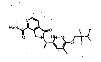 CNC(=O)c1nccc2c1CN(C(C)C1=CC(C)=C(OCC(F)(F)C(F)F)NN1)C2=O